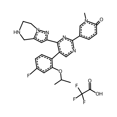 CC(C)Oc1cc(F)ccc1-c1cnc(-c2ccc(=O)n(C)c2)nc1-c1cc2n(n1)CCNC2.O=C(O)C(F)(F)F